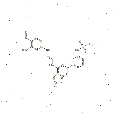 CS(=O)(=O)Nc1cccc(-c2cc3nccn3c(NCCNc3ccc(N=O)c(N)n3)n2)c1